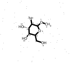 [2H]C1C(OC)OC(CO)[C@@H](O)[C@@H]1O